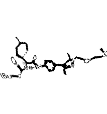 Cc1nn(COCC[Si](C)(C)C)c(C)c1-c1ccc(NC(=O)[C@@H](NC(=O)OC(C)(C)C)[C@H]2CC[C@H](C)CC2)cc1